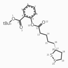 CC(C)(C)OC(=O)c1ccccc1OC(=O)CCCC[C@@H]1CCSS1